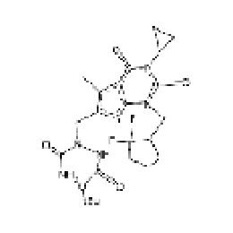 Cc1c(CN(NC(=O)OC(C)(C)C)C(N)=O)sc2c1c(=O)n(C1CC1)c(=O)n2CC1CCCC1(F)F